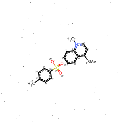 CSc1cc[n+](C)c2ccccc12.Cc1ccc(S(=O)(=O)[O-])cc1